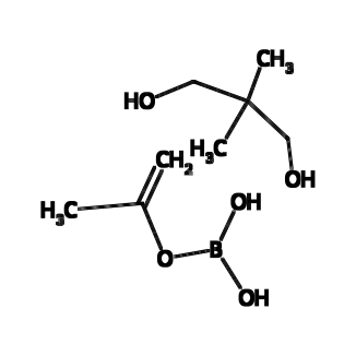 C=C(C)OB(O)O.CC(C)(CO)CO